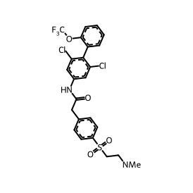 CNCCS(=O)(=O)c1ccc(CC(=O)Nc2cc(Cl)c(-c3ccccc3OC(F)(F)F)c(Cl)c2)cc1